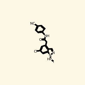 N#Cc1ccc(NC(=O)Cc2cc(Cl)cc3c2cnn3PI)cc1